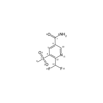 CS(=O)(=O)c1cc(C(N)=O)cnc1C(F)F